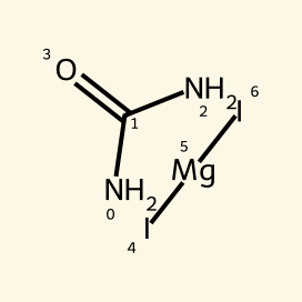 NC(N)=O.[I][Mg][I]